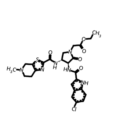 CCOC(=O)CN1C[C@@H](NC(=O)c2nc3c(s2)CN(C)CC3)[C@H](NC(=O)c2cc3cc(Cl)ccc3[nH]2)C1=O